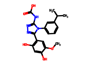 COc1cc(-c2nnc(NC(=O)O)n2-c2cccc(C(C)C)c2)c(O)cc1O